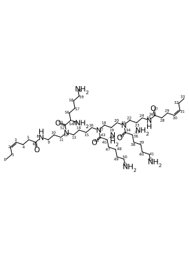 CC/C=C\CCC(=O)NCCCN(CCCCN(CCCN(CCCNC(=O)CC/C=C\CC)C(=O)[C@H](N)CCCCN)C(=O)[C@H](N)CCCCN)C(=O)[C@H](N)CCCCN